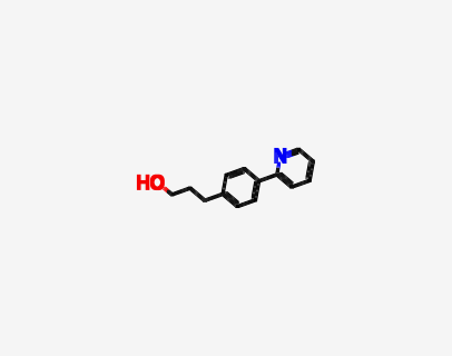 OCCCc1ccc(-c2ccccn2)cc1